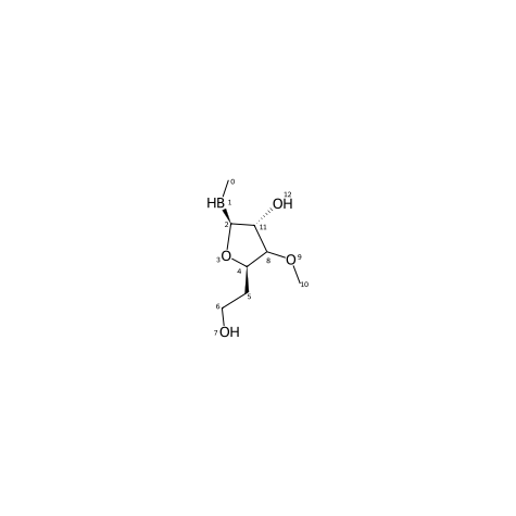 CB[C@@H]1O[C@H](CCO)C(OC)[C@H]1O